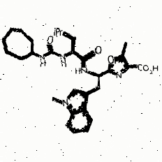 Cc1oc([C@@H](Cc2cn(C)c3ccccc23)NC(=O)C(CC(C)C)NC(=O)NC2CCCCCC2)nc1C(=O)O